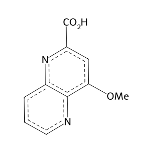 COc1cc(C(=O)O)nc2cccnc12